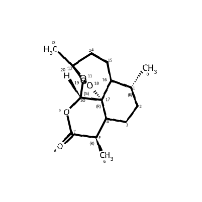 C[C@@H]1CCC2[C@@H](C)C(=O)O[C@@H]3OC4(C)CCC1[C@@]23OO4